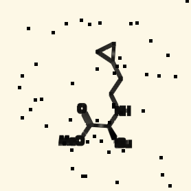 COC(=O)[C@@H](NCCC1CC1)C(C)(C)C